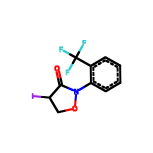 O=C1C(I)CON1c1ccccc1C(F)(F)F